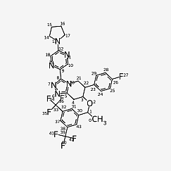 CC(OC1Cc2nnc(-c3cnc(N4CCCC4)cn3)n2CC1c1ccc(F)cc1)c1cc(C(F)(F)F)cc(C(F)(F)F)c1